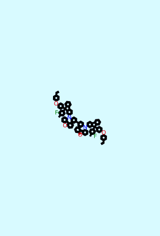 C=Cc1ccc(Oc2ccc(C3(c4ccc(C)c(F)c4)c4ccccc4-c4ccc(N(c5ccc(-c6ccc(N(c7ccc8c(c7)C(c7ccc(Oc9ccc(C=C)cc9)cc7)(c7ccc(C)c(F)c7)c7ccccc7-8)c7cccc8oc9ccccc9c78)cc6)cc5)c5cccc6oc7ccccc7c56)cc43)cc2)cc1